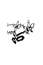 Cn1c(=O)[nH]c(=O)c2c1ncn2CCCCN1CCNCC1C(c1ccccc1)c1ccccc1.O=C(O)C(=O)O